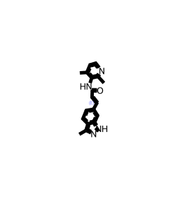 Cc1ccnc(C)c1NC(=O)/C=C/c1ccc2c(C)n[nH]c2c1